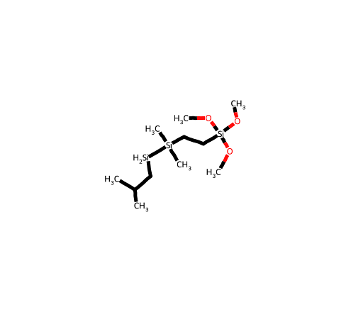 CO[Si](CC[Si](C)(C)[SiH2]CC(C)C)(OC)OC